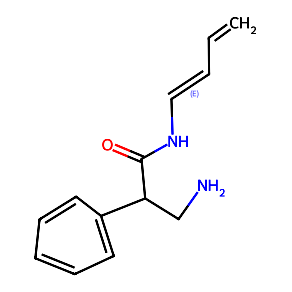 C=C/C=C/NC(=O)C(CN)c1ccccc1